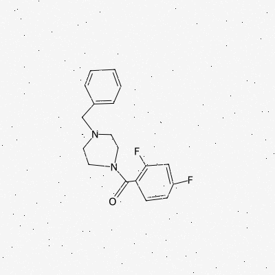 O=C(c1ccc(F)cc1F)N1CCN(Cc2ccccc2)CC1